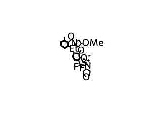 CCc1cccc(C)c1C(=O)N1CC(OC)C(Oc2cccc(C(F)(F)[S+]([O-])N(C)C3CCOCC3)c2)C1